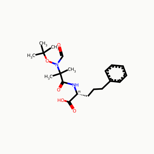 CC(C)(C)ON(C=O)C(C)(C)C(=O)N[C@H](CCCc1ccccc1)C(=O)O